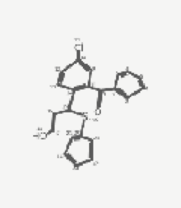 O=C(c1ccccc1)c1cc(Cl)ccc1C(CCO)Sc1ccccc1